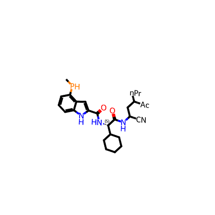 CCCC(CC(C#N)NC(=O)[C@@H](NC(=O)c1cc2c(PC)cccc2[nH]1)C1CCCCC1)C(C)=O